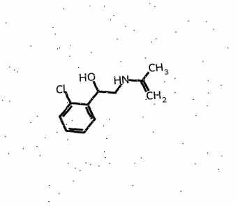 C=C(C)NCC(O)c1ccccc1Cl